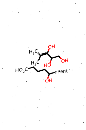 CC(C)=C(O)C(O)CO.CCCCCC(O)CCCC(=O)O